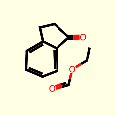 CCOC=O.O=C1CCc2ccccc21